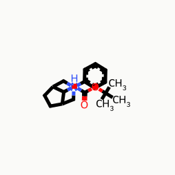 CC(C)(C)OC(=O)NC1C2CCC1CN(c1ccccc1)C2